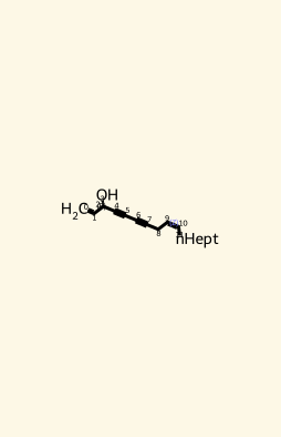 C=C[C@@H](O)C#CC#CC/C=C\CCCCCCC